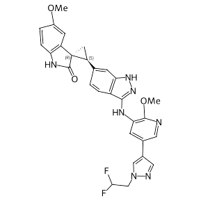 COc1ccc2c(c1)[C@]1(C[C@H]1c1ccc3c(Nc4cc(-c5cnn(CC(F)F)c5)cnc4OC)n[nH]c3c1)C(=O)N2